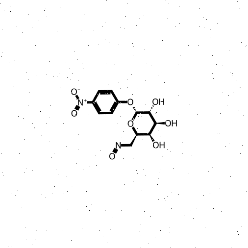 O=NC[C@H]1O[C@H](Oc2ccc([N+](=O)[O-])cc2)[C@H](O)[C@@H](O)[C@H]1O